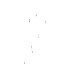 O=C(O)CN(CCN(CC(=O)O)CC(=O)O)CC(=O)O.[Zn]